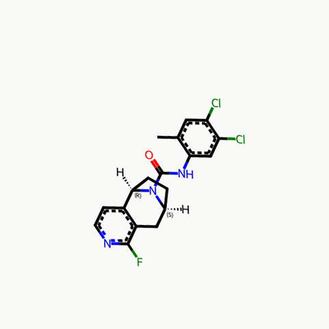 Cc1cc(Cl)c(Cl)cc1NC(=O)N1[C@H]2CC[C@@H]1c1ccnc(F)c1C2